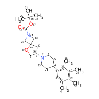 Cc1cc(C2CCN([C@@H]3COC4(C3)CN(C(=O)OC(C)(C)C)C4)CC2)c(C)c(C)c1C